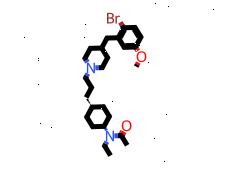 CCN(C(C)=O)[C@H]1CC[C@H](CCCN2CCC(Cc3cc(OC)ccc3Br)CC2)CC1